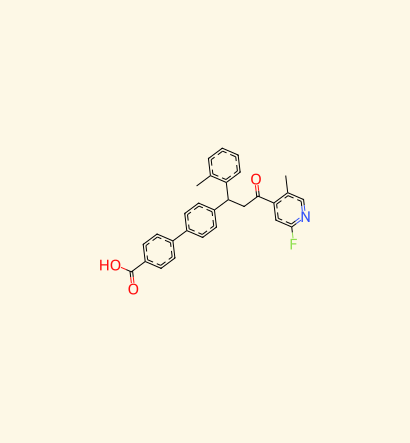 Cc1cnc(F)cc1C(=O)CC(c1ccc(-c2ccc(C(=O)O)cc2)cc1)c1ccccc1C